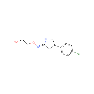 OCCO/N=C1/CC(c2ccc(Cl)cc2)CN1